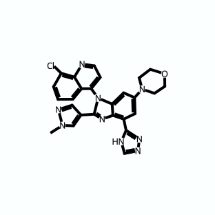 Cn1cc(-c2nc3c(-c4nnc[nH]4)cc(N4CCOCC4)cc3n2-c2ccnc3c(Cl)cccc23)cn1